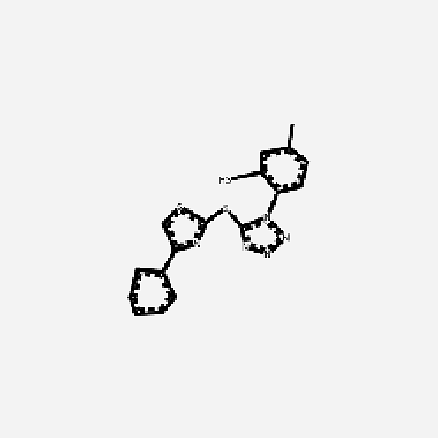 Cc1ccc(-n2nnnc2Sc2nc(-c3ccccc3)cs2)c(S)c1